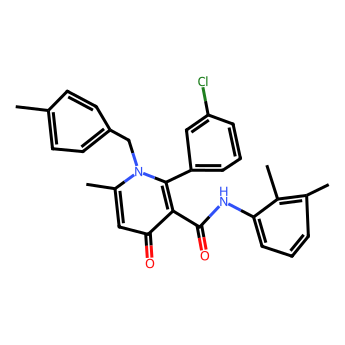 Cc1ccc(Cn2c(C)cc(=O)c(C(=O)Nc3cccc(C)c3C)c2-c2cccc(Cl)c2)cc1